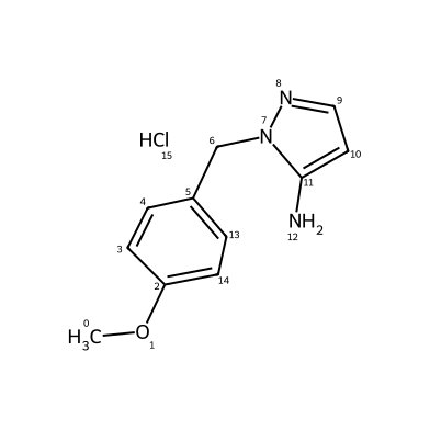 COc1ccc(Cn2nccc2N)cc1.Cl